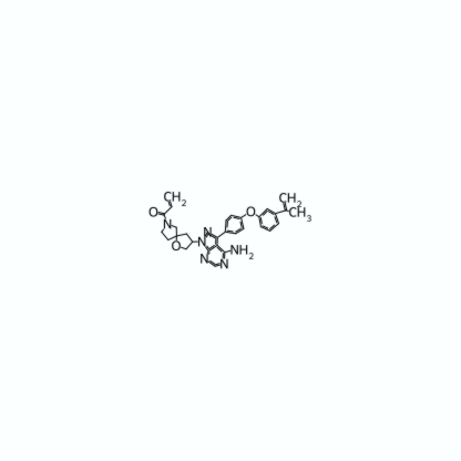 C=CC(=O)N1CCC2(CC(n3nc(-c4ccc(Oc5cccc(C(=C)C)c5)cc4)c4c(N)ncnc43)CO2)C1